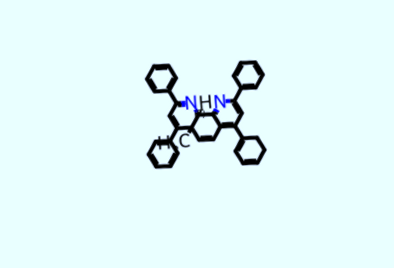 CC12C=Cc3c(C4=CC=CCC4)cc(-c4ccccc4)nc3[C@@H]1N=C(c1ccccc1)C=C2c1ccccc1